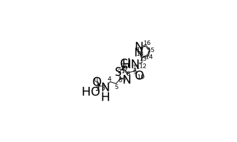 O=C(O)NCCc1nc(C(=O)NCc2cccnn2)c(Cl)s1